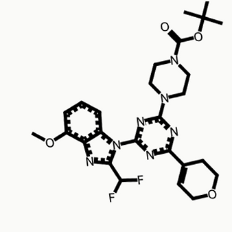 COc1cccc2c1nc(C(F)F)n2-c1nc(C2=CCOCC2)nc(N2CCN(C(=O)OC(C)(C)C)CC2)n1